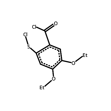 CCOc1cc(SCl)c(C(=O)Cl)cc1OCC